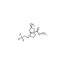 C=C1CN2[C@H](CCC(F)(F)F)CC[C@@]2(C(=O)OC)C1